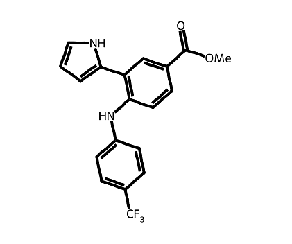 COC(=O)c1ccc(Nc2ccc(C(F)(F)F)cc2)c(-c2ccc[nH]2)c1